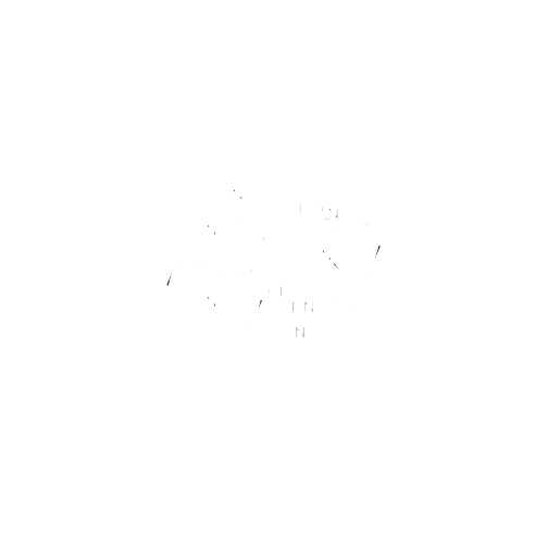 CC[C@H](C)[C@H](NC(=O)O)C(=O)NN(Cc1ccccc1)C[C@H](O)[C@H](Cc1ccccc1)NC(=O)[C@H]([C@@H](C)CC)N1CCN(Cc2ccnc3ccccc23)C1=O